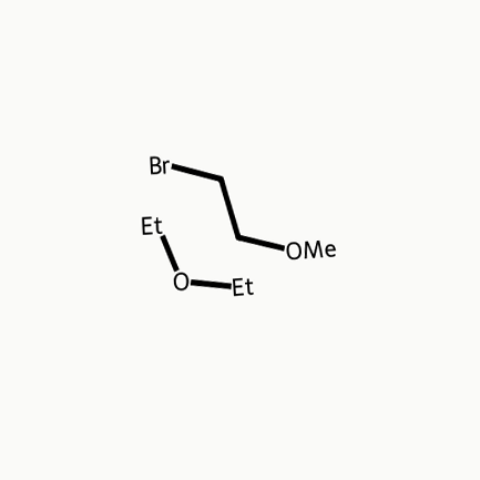 CCOCC.COCCBr